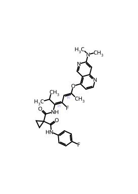 C/C(=C\C(F)=C(\NC(=O)C1(C(=O)Nc2ccc(F)cc2)CC1)C(C)C)Oc1ccnc2cc(N(C)C)ncc12